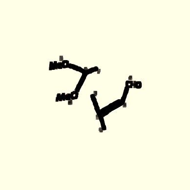 CC(C)=CC=O.COC(C)OC